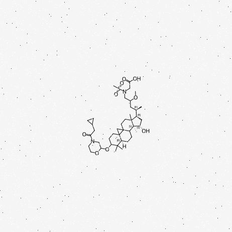 COC(C[C@@H](C)[C@H]1C[C@H](O)[C@@]2(C)C3CC[C@H]4C(C)(C)C(OC5CN(C(=O)CC6CC6)CCO5)CCC45CC35CCC12C)CN(CC(=O)O)S(C)(=O)=O